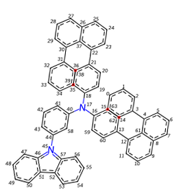 c1ccc(-c2cccc3cccc(-c4ccc(N(c5ccc(-c6cccc7cccc(-c8ccccc8)c67)cc5)c5cccc(-n6c7ccccc7c7ccccc76)c5)cc4)c23)cc1